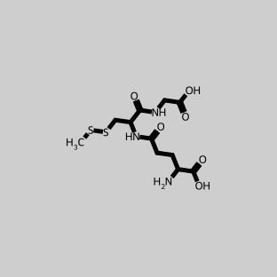 CSSCC(NC(=O)CCC(N)C(=O)O)C(=O)NCC(=O)O